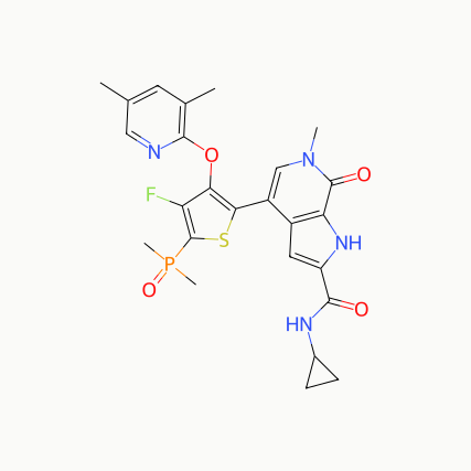 Cc1cnc(Oc2c(-c3cn(C)c(=O)c4[nH]c(C(=O)NC5CC5)cc34)sc(P(C)(C)=O)c2F)c(C)c1